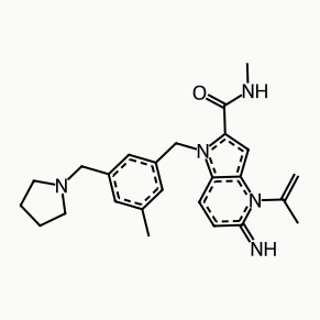 C=C(C)n1c(=N)ccc2c1cc(C(=O)NC)n2Cc1cc(C)cc(CN2CCCC2)c1